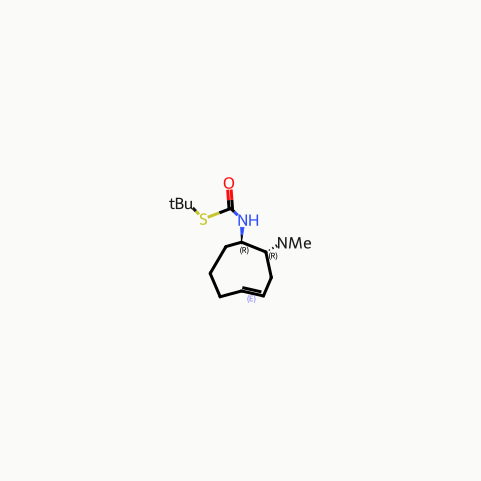 CN[C@@H]1C/C=C/CCC[C@H]1NC(=O)SC(C)(C)C